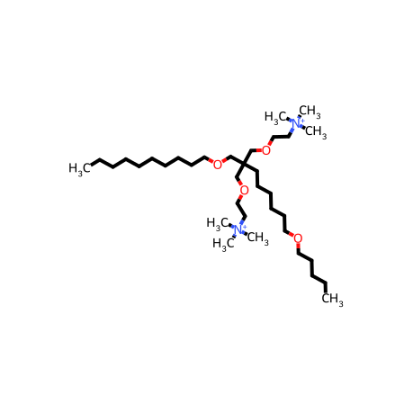 CCCCCCCCCCOCC(CCCCCCOCCCCC)(COCC[N+](C)(C)C)COCC[N+](C)(C)C